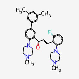 Cc1cc(C)cc(-c2ccc(N3CCN(C)CC3)c(C(=O)/C=C/c3c(F)cccc3N3CCN(C)CC3)c2)c1